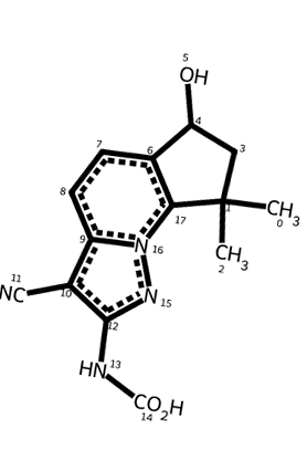 CC1(C)CC(O)c2ccc3c(C#N)c(NC(=O)O)nn3c21